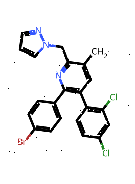 [CH2]c1cc(-c2ccc(Cl)cc2Cl)c(-c2ccc(Br)cc2)nc1Cn1cccn1